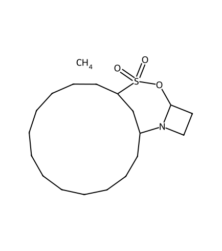 C.O=S1(=O)OC2CCN2C2CCCCCCCCCCCCC1C2